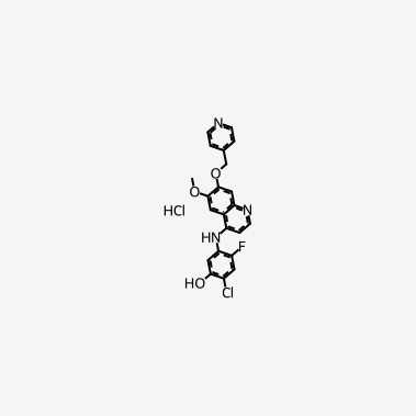 COc1cc2c(Nc3cc(O)c(Cl)cc3F)ccnc2cc1OCc1ccncc1.Cl